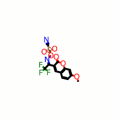 COc1ccc2cc(/C(=N\OS(=O)(=O)C#N)C(F)(F)F)c(=O)oc2c1